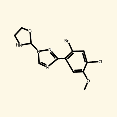 COc1cc(-c2ncn(C3NCCO3)n2)c(Br)cc1Cl